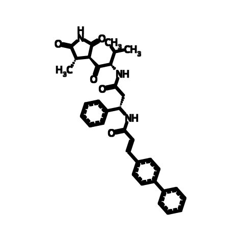 CC(C)[C@H](NC(=O)C[C@H](NC(=O)/C=C/c1ccc(-c2ccccc2)cc1)c1ccccc1)C(=O)[C@@H]1C(=O)NC(=O)[C@H]1C